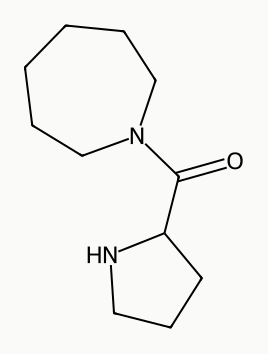 O=C(C1CCCN1)N1CCCCCC1